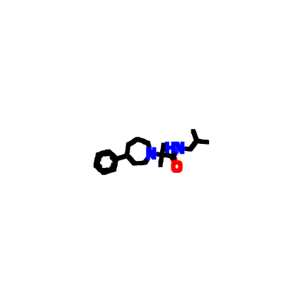 CC(C)CNC(=O)C(C)(C)N1CCCC(c2ccccc2)CC1